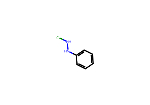 ClNNc1ccccc1